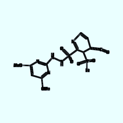 CCS(=O)(=O)C1C(=C=O)C=CN=C1S(=O)(=O)NNc1nc(OC)cc(OC)n1